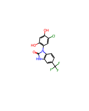 O=c1[nH]c2cc(C(F)(F)F)ccc2n1-c1cc(Cl)c(O)cc1O